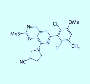 COc1cc(C)c(Cl)c(-c2cc3cnc(SC)nc3c(N3CCC(C#N)C3)n2)c1Cl